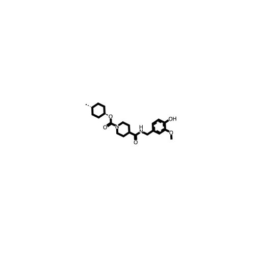 COc1cc(CNC(=O)C2CCN(C(=O)O[C@H]3CC[C@@H](C)CC3)CC2)ccc1O